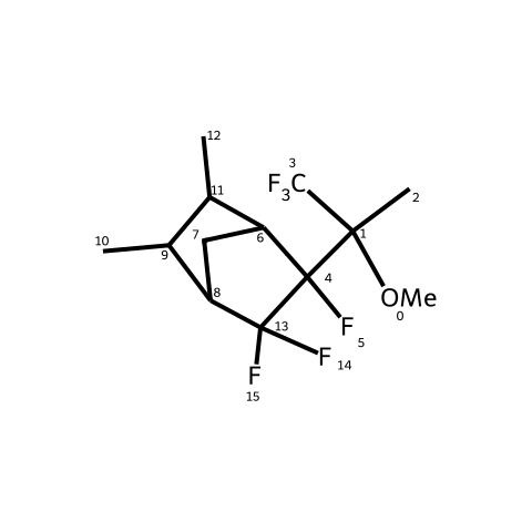 COC(C)(C(F)(F)F)C1(F)C2CC(C(C)C2C)C1(F)F